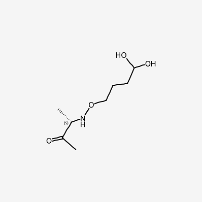 CC(=O)[C@H](C)NOCCCC(O)O